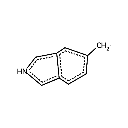 [CH2]c1ccc2c[nH]cc2c1